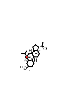 CC(=O)[C@H]1CC[C@H]2[C@@H]3CC[C@@H]4C[C@](C)(O)CC[C@]4(COC(C)C)[C@H]3CC[C@]12C